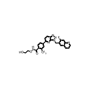 O=C(NOCCO)c1ccc(-c2ccc3nnn(Cc4cc5cccnc5cc4F)c3n2)cc1C(F)(F)F